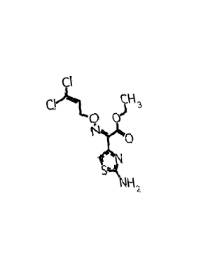 CCOC(=O)C(=NOCC=C(Cl)Cl)c1csc(N)n1